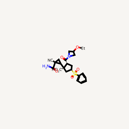 CCOC1CN(C(=O)[C@@H]2C[C@@H](S(=O)(=O)c3ccccc3)C[C@@]2(C(=O)O)C2CC2(C#N)C(N)=O)C1